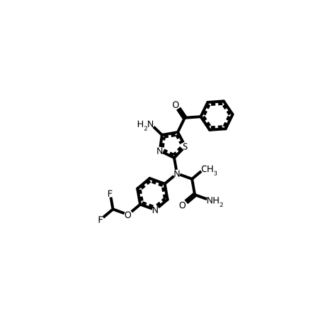 CC(C(N)=O)N(c1ccc(OC(F)F)nc1)c1nc(N)c(C(=O)c2ccccc2)s1